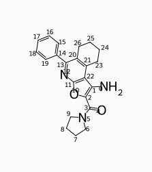 Nc1c(C(=O)N2CCCC2)oc2nc(-c3ccccc3)c3c(c12)CCCC3